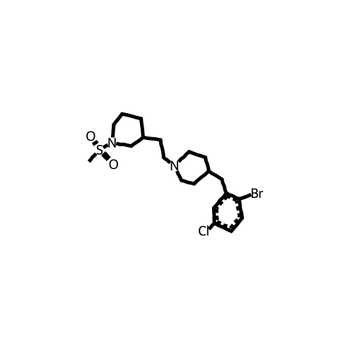 CS(=O)(=O)N1CCCC(CCN2CCC(Cc3cc(Cl)ccc3Br)CC2)C1